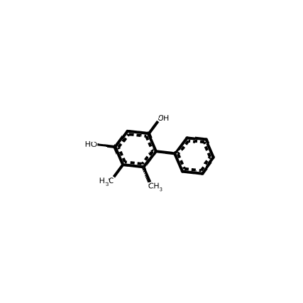 Cc1c(O)cc(O)c(-c2ccccc2)c1C